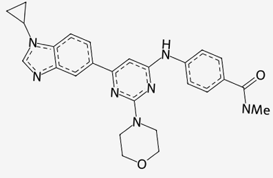 CNC(=O)c1ccc(Nc2cc(-c3ccc4c(c3)ncn4C3CC3)nc(N3CCOCC3)n2)cc1